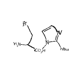 CC(C)CC(N)C(=O)O.CCCCc1nccn1C